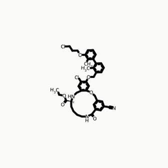 CCOC(=O)[C@@H]1CCCCNC(=O)c2cc(C#N)cc(c2)COc2cc(OCc3cccc(-c4cccc(OCCCCl)c4C)c3C)c(Cl)cc2CN1